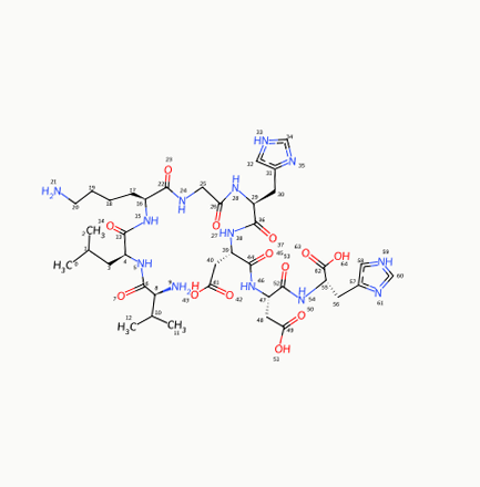 CC(C)C[C@H](NC(=O)[C@@H](N)C(C)C)C(=O)N[C@@H](CCCCN)C(=O)NCC(=O)N[C@@H](Cc1c[nH]cn1)C(=O)N[C@@H](CC(=O)O)C(=O)N[C@@H](CC(=O)O)C(=O)N[C@@H](Cc1c[nH]cn1)C(=O)O